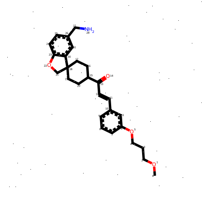 COCCCOc1cccc(/C=C/C(=O)C2CCC3(CC2)COc2ccc(CN)cc23)c1